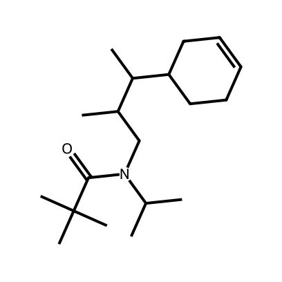 CC(CN(C(=O)C(C)(C)C)C(C)C)C(C)C1CC=CCC1